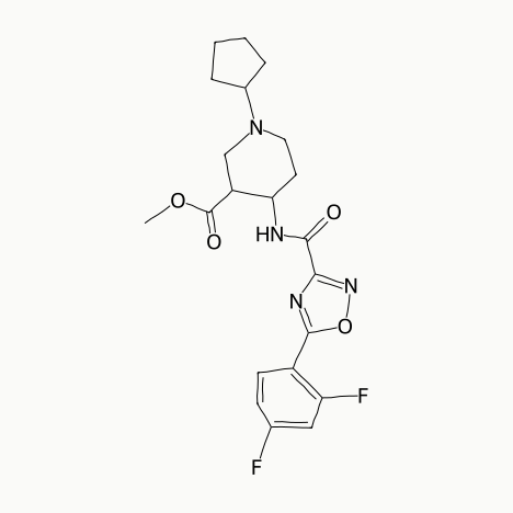 COC(=O)C1CN(C2CCCC2)CCC1NC(=O)c1noc(-c2ccc(F)cc2F)n1